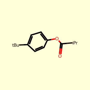 CC(C)C(=O)Oc1ccc(C(C)(C)C)cc1